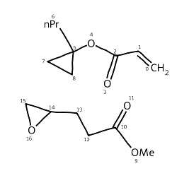 C=CC(=O)OC1(CCC)CC1.COC(=O)CCC1CO1